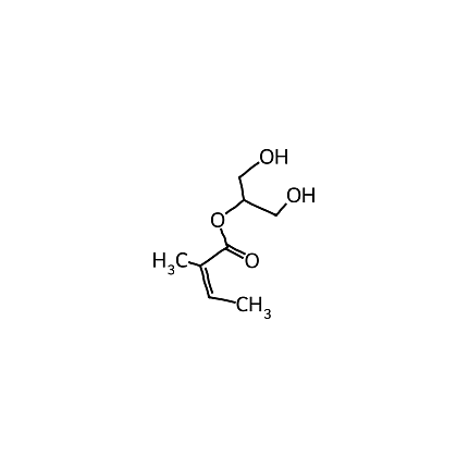 CC=C(C)C(=O)OC(CO)CO